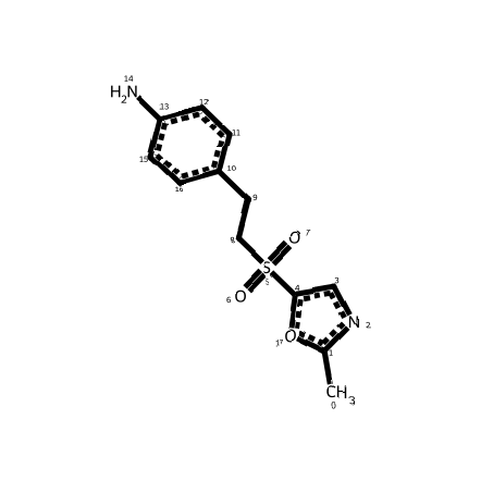 Cc1ncc(S(=O)(=O)CCc2ccc(N)cc2)o1